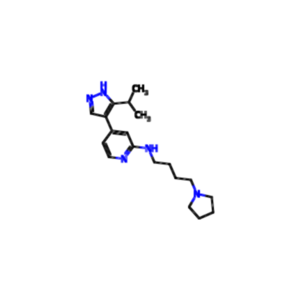 CC(C)c1[nH]ncc1-c1ccnc(NCCCCN2CCCC2)c1